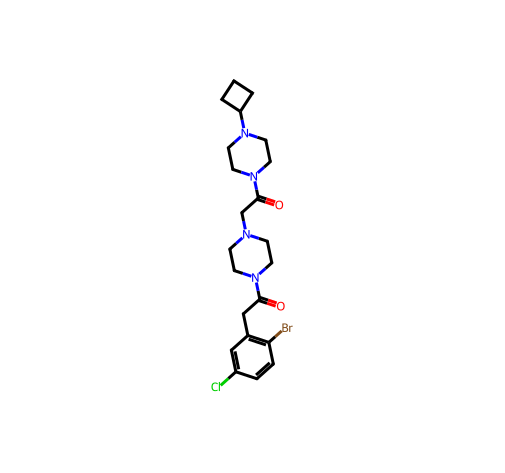 O=C(Cc1cc(Cl)ccc1Br)N1CCN(CC(=O)N2CCN(C3CCC3)CC2)CC1